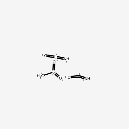 C[SH](=O)=O.N=C=O.N=C=O